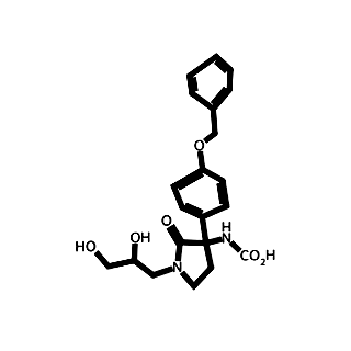 O=C(O)NC1(c2ccc(OCc3ccccc3)cc2)CCN(CC(O)CO)C1=O